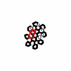 O=C(c1c(-c2ccccc2)c(-c2ccccc2)c(-c2ccccc2)c(-c2ccccc2)c1-c1ccccc1)c1c(-c2ccccn2)c(-c2ccccn2)c(-c2ccccn2)c(-c2ccccn2)c1-c1ccccn1